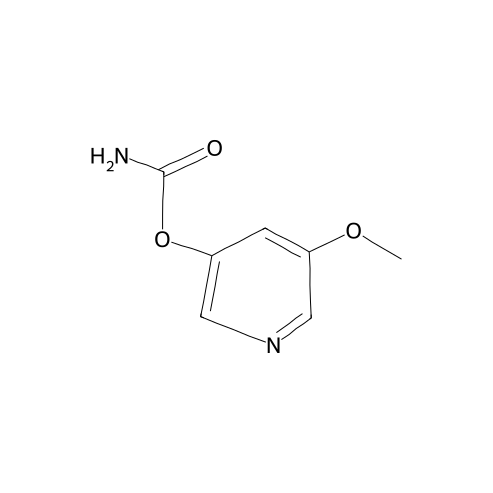 COc1cncc(OC(N)=O)c1